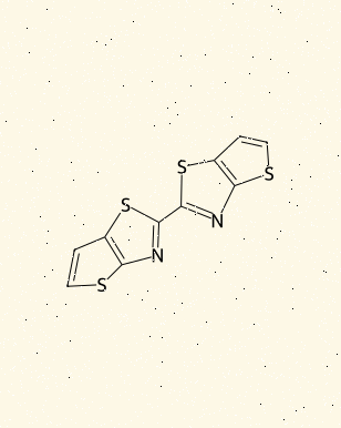 c1cc2sc(-c3nc4sccc4s3)nc2s1